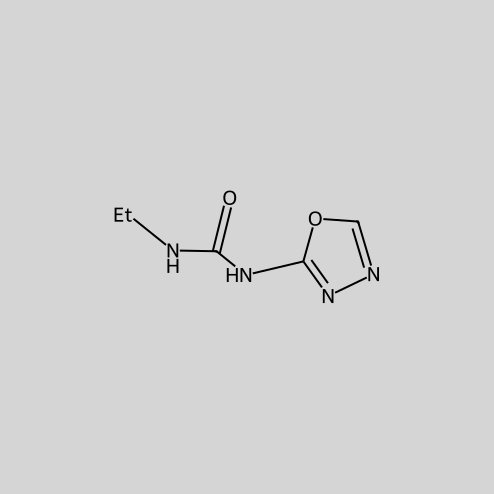 CCNC(=O)Nc1nnco1